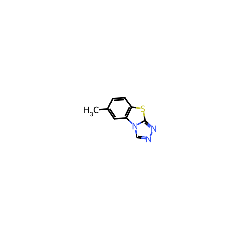 Cc1ccc2sc3nncn3c2c1